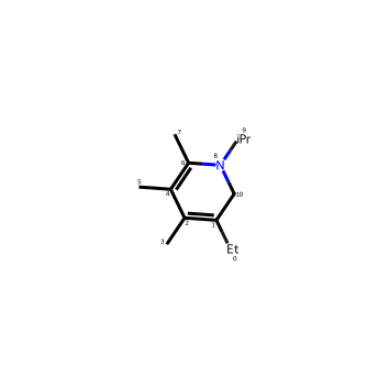 CCC1=C(C)C(C)=C(C)N(C(C)C)C1